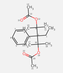 CCC(c1ccccc1)(C(C)(C)OC(C)=O)C(C)(C)OC(C)=O